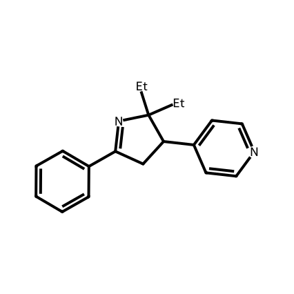 CCC1(CC)N=C(c2ccccc2)CC1c1ccncc1